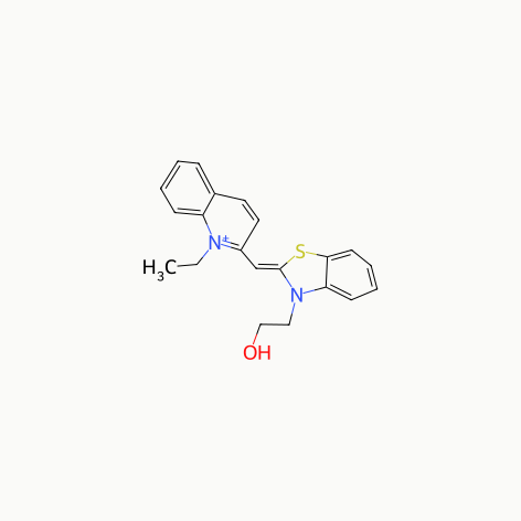 CC[n+]1c(/C=C2\Sc3ccccc3N2CCO)ccc2ccccc21